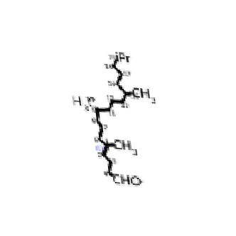 C/C(=C\CC[C]=O)CCCC(C)CCCC(C)CCCC(C)C